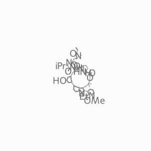 C=CC(=O)N(C)CCC(=O)N(C)C(C(=O)N[C@H]1Cc2cc(O)cc(c2)-c2ccc3c(c2)c(c(-c2cccnc2COC)n3CC)CC(C)(C)COC(=O)[C@@H]2CCCN(N2)C1=O)C(C)C